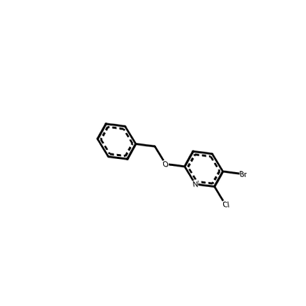 Clc1nc(OCc2ccccc2)ccc1Br